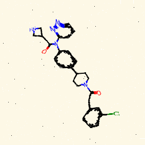 O=C(Cc1cccc(Cl)c1)N1CCC(c2ccc(N(C(=O)C3CNC3)c3cccnn3)cc2)CC1